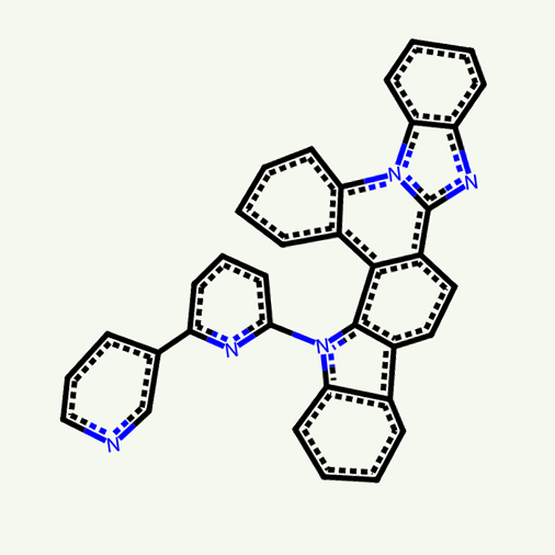 c1cncc(-c2cccc(-n3c4ccccc4c4ccc5c(c6ccccc6n6c7ccccc7nc56)c43)n2)c1